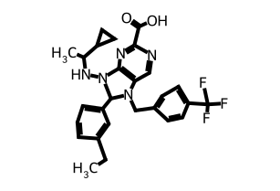 CCc1cccc(C2N(Cc3ccc(C(F)(F)F)cc3)c3cnc(C(=O)O)nc3N2NC(C)C2CC2)c1